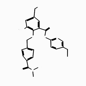 COc1cc(CI)cc(C(=O)Nc2ccc(CI)cn2)c1NCc1ccc(C(=N)N(C)C)cc1